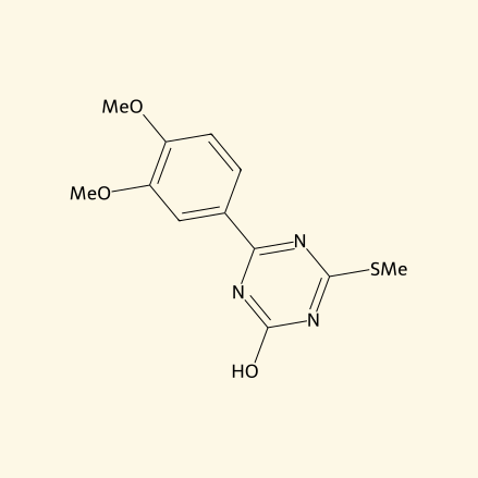 COc1ccc(-c2nc(O)nc(SC)n2)cc1OC